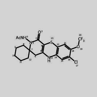 CC(=O)NN1C(=O)C2=C(CC13CCCCC3)Nc1cc(Cl)c(OC(F)(F)F)cc1S2